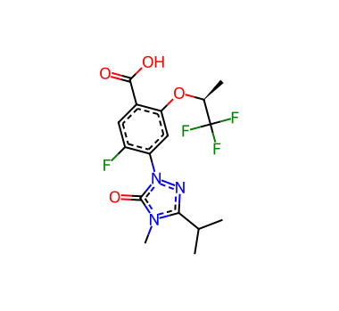 CC(C)c1nn(-c2cc(O[C@@H](C)C(F)(F)F)c(C(=O)O)cc2F)c(=O)n1C